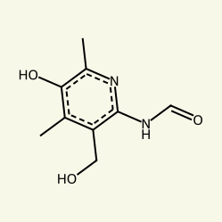 Cc1nc(NC=O)c(CO)c(C)c1O